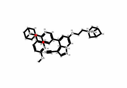 COc1ccc(CN2C3CC2CN(c2ccc(-c4cc(OCCN5CC6CC(C5)N6)cn5ncc(C#N)c45)cn2)C3)cn1